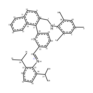 Cc1cc(C)c(NCc2ccc3ccccc3c2-c2cccc(/C=N/c3c(C(C)C)cccc3C(C)C)n2)c(C)c1